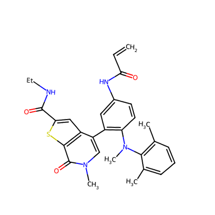 C=CC(=O)Nc1ccc(N(C)c2c(C)cccc2C)c(-c2cn(C)c(=O)c3sc(C(=O)NCC)cc23)c1